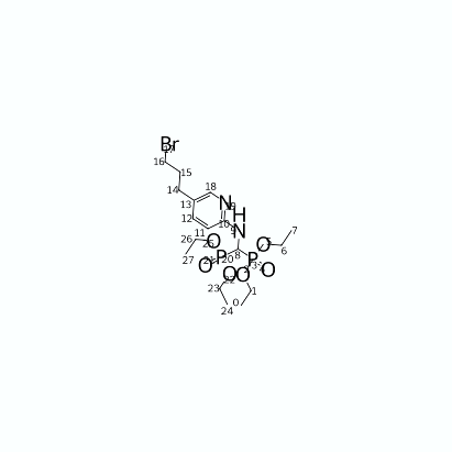 CCOP(=O)(OCC)C(Nc1ccc(CCCBr)cn1)P(=O)(OCC)OCC